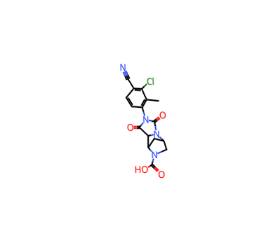 Cc1c(N2C(=O)C3C4CC(CN4C(=O)O)N3C2=O)ccc(C#N)c1Cl